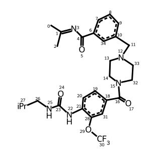 CC(C)=NC(=O)c1cccc(CN2CCN(C(=O)c3ccc(NC(=O)NCC(C)C)c(OC(F)(F)F)c3)CC2)c1